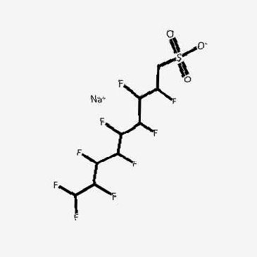 O=S(=O)([O-])CC(F)C(F)C(F)C(F)C(F)C(F)C(F)C(F)F.[Na+]